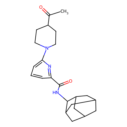 CC(=O)C1CCN(c2cccc(C(=O)NC3C4CC5CC(C4)CC3C5)n2)CC1